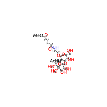 COC(=O)CCCCC(=O)NCCO[C@H]1O[C@H](CO)[C@H](O)[C@H](O[C@@H]2O[C@H](CO)[C@H](O)[C@H](O)[C@H]2O)[C@H]1NC(C)=O